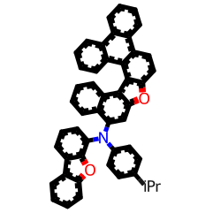 CC(C)c1ccc(N(c2cc3oc4ccc5c6ccccc6c6ccccc6c5c4c3c3ccccc23)c2cccc3c2oc2ccccc23)cc1